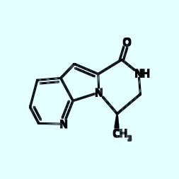 C[C@@H]1CNC(=O)c2cc3cccnc3n21